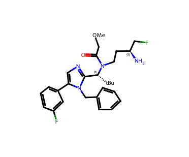 COCC(=O)N(CC[C@H](N)CF)[C@@H](c1ncc(-c2cccc(F)c2)n1Cc1ccccc1)C(C)(C)C